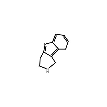 [C]1CC2=NC3=CC=CCC3=C2CN1